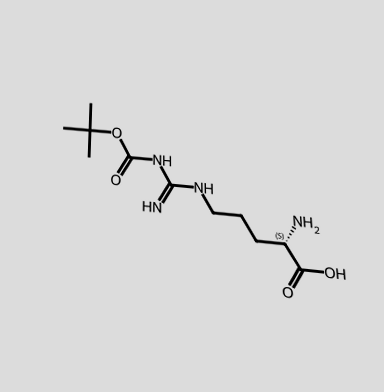 CC(C)(C)OC(=O)NC(=N)NCCC[C@H](N)C(=O)O